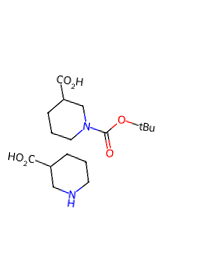 CC(C)(C)OC(=O)N1CCCC(C(=O)O)C1.O=C(O)C1CCCNC1